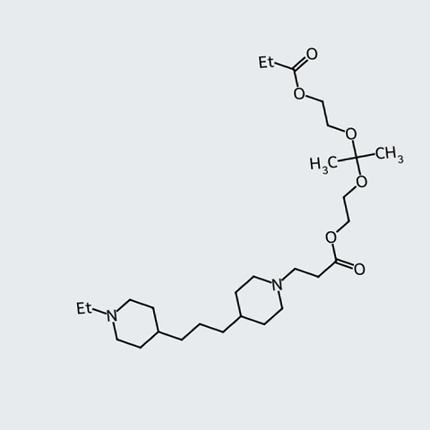 CCC(=O)OCCOC(C)(C)OCCOC(=O)CCN1CCC(CCCC2CCN(CC)CC2)CC1